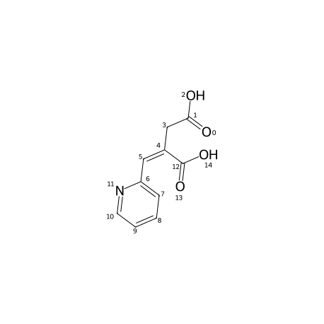 O=C(O)CC(=Cc1ccccn1)C(=O)O